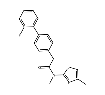 Cc1csc(N(C)C(=O)Cc2ccc(-c3ccccc3F)cc2)n1